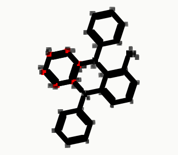 Bc1cccc(N(c2ccccc2)c2ccccc2)c1N(c1ccccc1)c1ccccc1